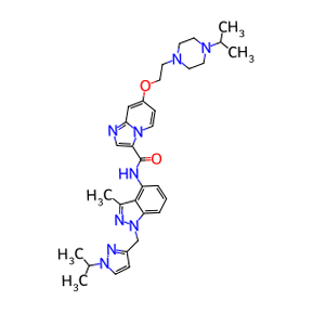 Cc1nn(Cc2ccn(C(C)C)n2)c2cccc(NC(=O)c3cnc4cc(OCCN5CCN(C(C)C)CC5)ccn34)c12